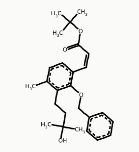 Cc1ccc(/C=C\C(=O)OC(C)(C)C)c(OCc2ccccc2)c1CCC(C)(C)O